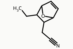 CCC1C2C=CC(O2)C1CC#N